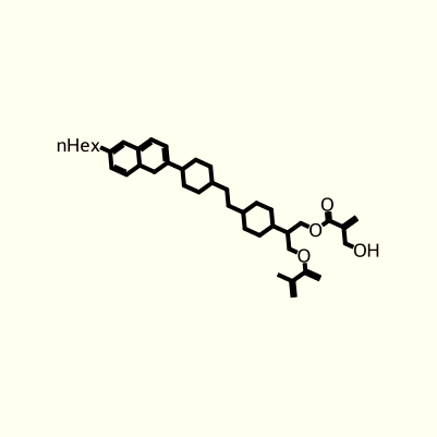 C=C(C)C(=C)OCC(COC(=O)C(=C)CO)C1CCC(CCC2CCC(C3=CC=C4C=C(CCCCCC)C=CC4C3)CC2)CC1